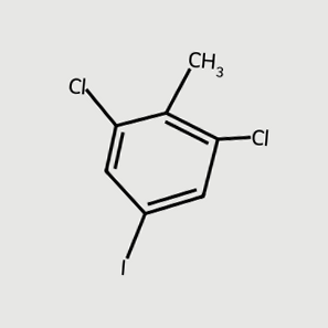 Cc1c(Cl)cc(I)cc1Cl